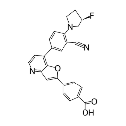 N#Cc1cc(-c2ccnc3cc(-c4ccc(C(=O)O)cc4)oc23)ccc1N1CC[C@@H](F)C1